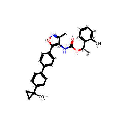 Cc1noc(-c2ccc(-c3ccc(C4(C(=O)O)CC4)cc3)cc2)c1NC(=O)O[C@H](C)c1ccccc1C#N